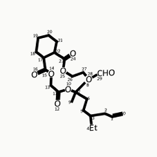 C=CCC(CC)CCC(C)(C)OC(=O)COC(=O)C1CCCCC1C(=O)OCCOC=O